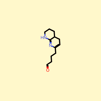 O=CCCCC1=CCC2CCCNC2=N1